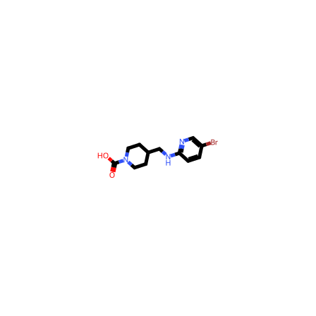 O=C(O)N1CCC(CNc2ccc(Br)cn2)CC1